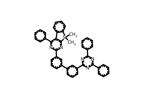 C[Si]1(C)c2ccccc2-c2c(-c3ccccc3)nc(-c3cccc(-c4cccc(-c5nc(-c6ccccc6)nc(-c6ccccc6)n5)c4)c3)nc21